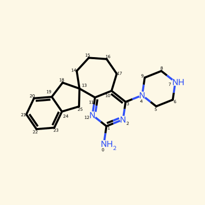 Nc1nc(N2CCNCC2)c2c(n1)C1(CCCC2)Cc2ccccc2C1